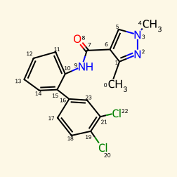 Cc1nn(C)cc1C(=O)Nc1ccccc1-c1ccc(Cl)c(Cl)c1